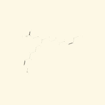 CC/C=C\CCCCOC(CCC(=O)O)OCCCC/C=C\CC